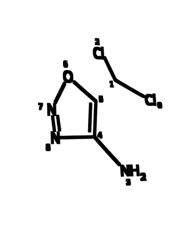 ClCCl.Nc1conn1